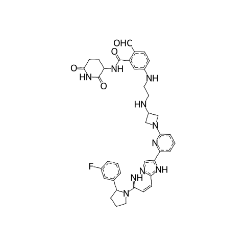 N=C(/C=C\c1ncc(-c2cccc(N3CC(NCCNc4ccc(C=O)c(C(=O)NC5CCC(=O)NC5=O)c4)C3)n2)[nH]1)N1CCCC1c1cccc(F)c1